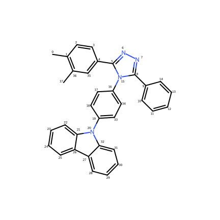 Cc1ccc(-c2nnc(-c3ccccc3)n2-c2ccc(-n3c4ccccc4c4ccccc43)cc2)cc1C